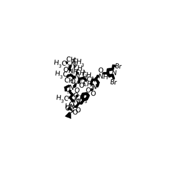 CC[C@H](C)[C@@H]([C@@H](CC(=O)N1CCC[C@H]1[C@H](OC)[C@@H](C)C(=O)NC(Cc1ccc(OC(=O)N2CCC(CNC(=O)c3cc(CBr)nc(CBr)c3)CC2)cc1)C(=O)NS(=O)(=O)C1CC1)OC)N(C)C(=O)[C@@H](NC(=O)[C@H](C(C)C)N(C)C)C(C)C